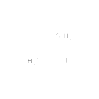 C[CH](F)[GeH3]